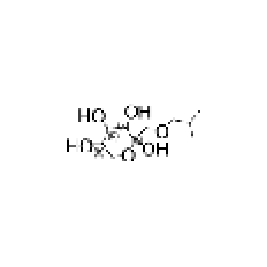 CC(C)COC[C@]1(O)OC[C@@H](O)[C@@H](O)[C@@H]1O